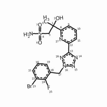 CC(O)(CS(N)(=O)=O)c1cccc(-c2nnn(Cc3cccc(Br)c3F)n2)n1